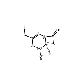 O=C1C[C@@H]2N1C=C(CI)C[S+]2[O-]